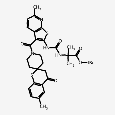 Cc1ccc2c(c1)C(=O)CC1(CCN(C(=O)c3c(NC(=O)NC(C)(C)C(=O)OC(C)(C)C)sc4nc(C)ccc34)CC1)S2